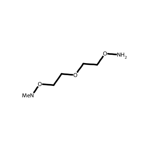 CNOCCOCCON